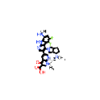 CNc1cc(F)c(F)c2c1[nH]c1ncc(-c3cnc4c(c3)c(=O)c(C(=O)O)cn4C)c(N3CC4CC[C@H](N(C)C)C4C3)c12